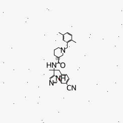 Cc1ccc(C)c(CN2CCC[C@H](C(=O)NC(C)(Cc3ccc(C#N)cc3)c3cnc[nH]3)C2)c1